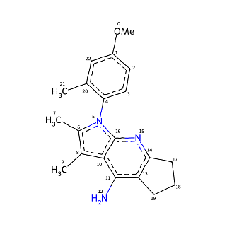 COc1ccc(-n2c(C)c(C)c3c(N)c4c(nc32)CCC4)c(C)c1